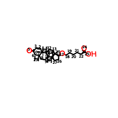 C[C@]12C=CC(=O)C[C@@H]1CC[C@@H]1[C@@H]2CC[C@]2(C)[C@@H](OCCCCCC(=O)O)CC[C@@H]12